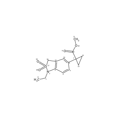 CCN1c2ccc(C3(C(=O)OC)CC3)cc2CS1(=O)=O